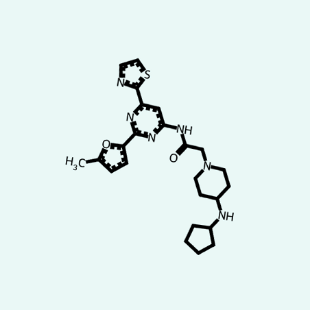 Cc1ccc(-c2nc(NC(=O)CN3CCC(NC4CCCC4)CC3)cc(-c3nccs3)n2)o1